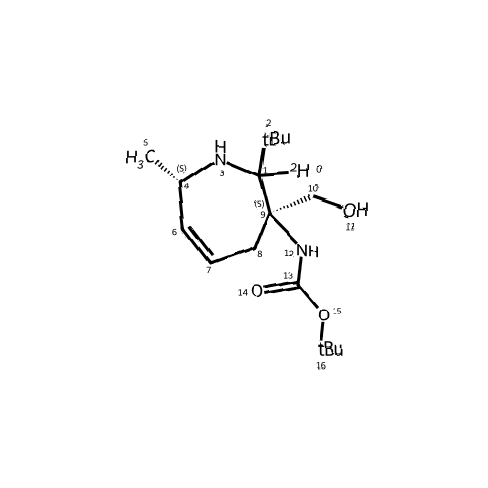 [2H]C1(C(C)(C)C)N[C@@H](C)C=CC[C@]1(CO)NC(=O)OC(C)(C)C